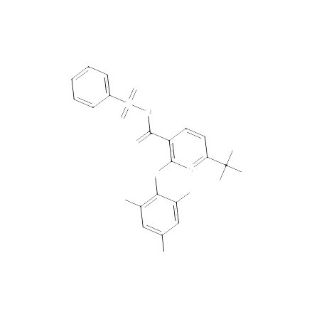 Cc1cc(C)c(Oc2nc(C(C)(C)C)ccc2C(=O)NS(=O)(=O)c2ccccc2)c(C)c1